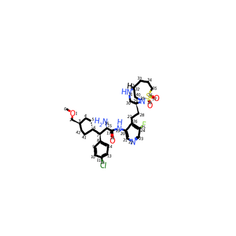 COC[C@H]1CC[C@H]([C@H](c2ccc(Cl)cc2)[C@H](N)C(=O)Nc2cncc(F)c2CC[C@H]2CN[C@@H]3CCCS(=O)(=O)N2C3)CC1